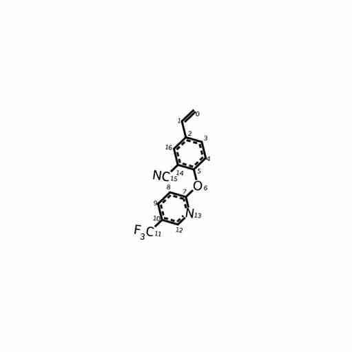 C=Cc1ccc(Oc2ccc(C(F)(F)F)cn2)c(C#N)c1